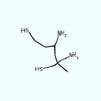 CC(N)(S)C(N)CS